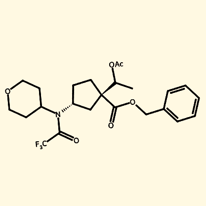 CC(=O)OC(C)[C@]1(C(=O)OCc2ccccc2)CC[C@@H](N(C(=O)C(F)(F)F)C2CCOCC2)C1